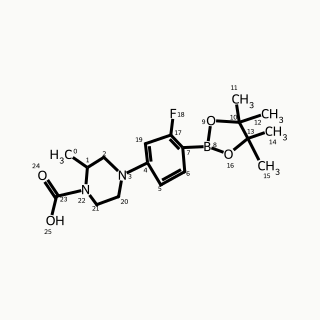 CC1CN(c2ccc(B3OC(C)(C)C(C)(C)O3)c(F)c2)CCN1C(=O)O